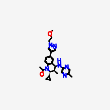 COCCn1cc(-c2ccc3c(c2)C(Nc2cnc(C)cn2)[C@@H](C)[C@H](C2CC2)N3C(C)=O)cn1